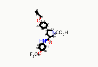 C#CCOc1ccc([C@H]2C[C@H](C(=O)Nc3ccc(OC(F)(F)F)cc3)CN(C(=O)O)C2)cc1